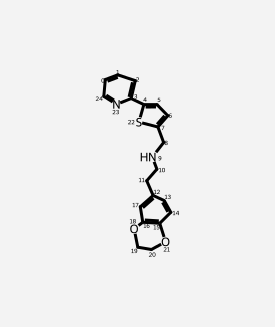 c1ccc(-c2ccc(CNCCc3ccc4c(c3)OCCO4)s2)nc1